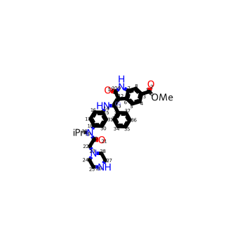 COC(=O)c1ccc2c(c1)NC(=O)/C2=C(\Nc1ccc(N(C(=O)CN2CCNCC2)C(C)C)cc1)c1ccccc1